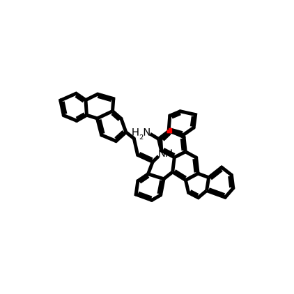 NC(N/C(=C\Cc1ccc2c(ccc3ccccc32)c1)c1ccccc1-c1c2ccccc2cc2c1ccc1ccccc12)c1ccccc1